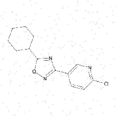 Clc1ccc(-c2noc(C3CC[CH]CC3)n2)cn1